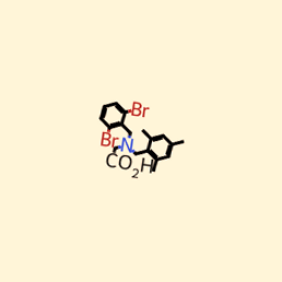 Cc1cc(C)c(CN(CC(=O)O)Cc2c(Br)cccc2Br)c(C)c1